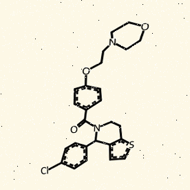 O=C(c1ccc(OCCN2CCOCC2)cc1)N1CCc2sccc2C1c1ccc(Cl)cc1